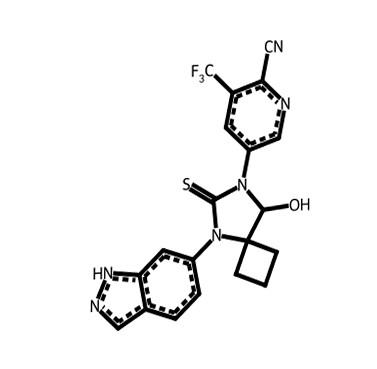 N#Cc1ncc(N2C(=S)N(c3ccc4cn[nH]c4c3)C3(CCC3)C2O)cc1C(F)(F)F